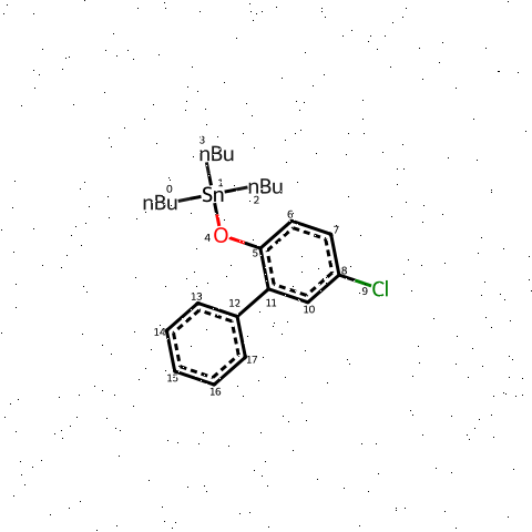 CCC[CH2][Sn]([CH2]CCC)([CH2]CCC)[O]c1ccc(Cl)cc1-c1ccccc1